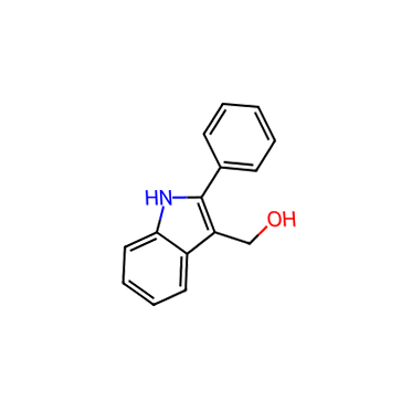 OCc1c(-c2ccccc2)[nH]c2ccccc12